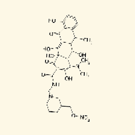 CC1c2cccc(O)c2C(=O)C2=C(O)C3(O)C(=O)C(C(=O)NCN4CCCC(CO[N+](=O)[O-])C4)=C(O)C(N(C)C)C3C(O)C21